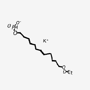 CCOOCCCCCCCCCCCCO[PH](=O)[O-].[K+]